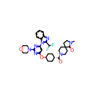 CN1CCC2(CCN(C(=O)[C@H]3CC[C@H](Oc4cc(-n5c(C(F)F)nc6ccccc65)nc(N5CCOCC5)n4)CC3)CC2)C1=O